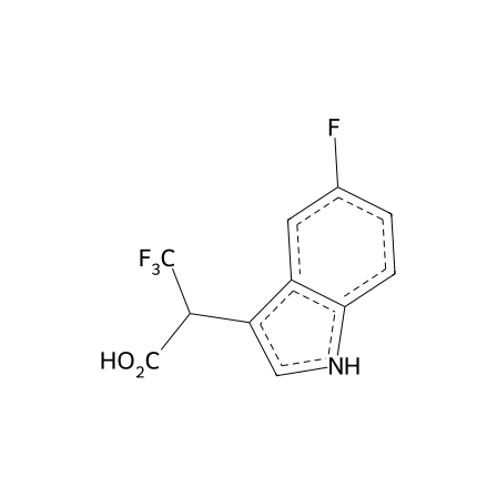 O=C(O)C(c1c[nH]c2ccc(F)cc12)C(F)(F)F